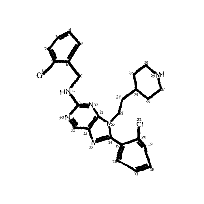 Clc1ccccc1CNc1ncc2nc(-c3ccccc3Cl)n(CCC3CCNCC3)c2n1